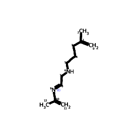 C=C(C)CCCNC/C=N/C(=C)C